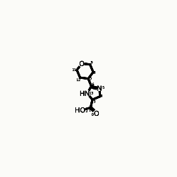 O=C(O)C1CN=C(C2CCOCC2)N1